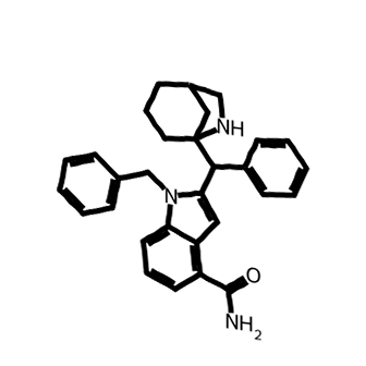 NC(=O)c1cccc2c1cc(C(c1ccccc1)C13CCCC(CN1)C3)n2Cc1ccccc1